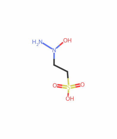 NN(O)CCS(=O)(=O)O